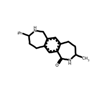 CC1CCc2cc3c(cc2C(=O)N1)CCC(C(C)C)NC3